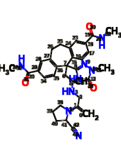 C=C(CN[C@@H](C)CC1(c2nn(C)c(=O)[nH]2)c2ccc(C(=O)NC)cc2CCc2cc(C(=O)NC)ccc21)N1CCCC1C#N